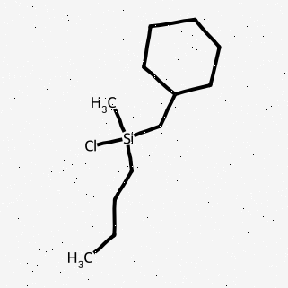 CCCC[Si](C)(Cl)CC1CCCCC1